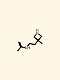 C=C(C)NCCC1(C)CNC1